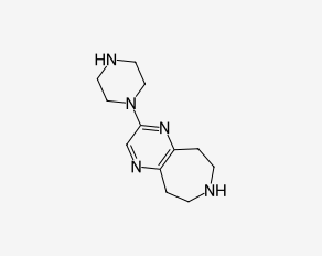 c1nc2c(nc1N1CCNCC1)CCNCC2